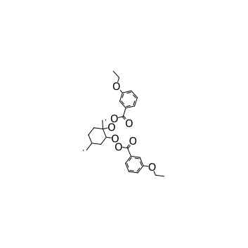 [CH2]C1CCC([CH2])(OOC(=O)c2cccc(OCC)c2)C(OOC(=O)c2cccc(OCC)c2)C1